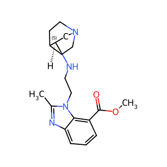 COC(=O)c1cccc2nc(C)n(CCN[C@@H]3CN4CCC3CC4)c12